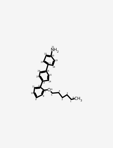 CCCCCCOc1ccccc1-c1ccc(-c2ccc(N)cc2)cc1